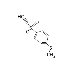 C#CS(=O)(=O)c1ccc(SC)cc1